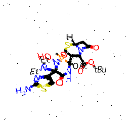 CCN(CC)C1(c2csc(N)n2)C(=O)NC(OC(C)=O)(C2=C(C(=O)OC(C)(C)C)N3C(=O)C[C@H]3SC2)P(C)(=O)N1O